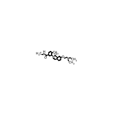 CCNC(=O)c1ccc(C)c(-n2ccc3ccc(OCCN(CC)CC)cc3c2=O)c1